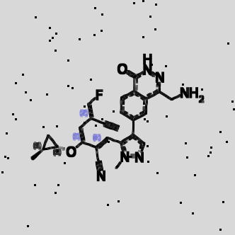 C#CC(=C\F)/C=C(O[C@H]1C[C@@H]1C)\C(C#N)=C\c1c(-c2ccc3c(=O)[nH]nc(CN)c3c2)cnn1C